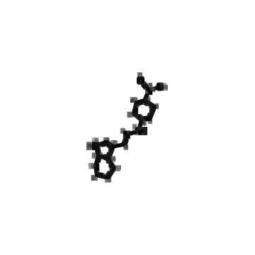 O=[N+]([O-])c1ccc(NN=Cc2c[nH]c3ccccc23)cc1